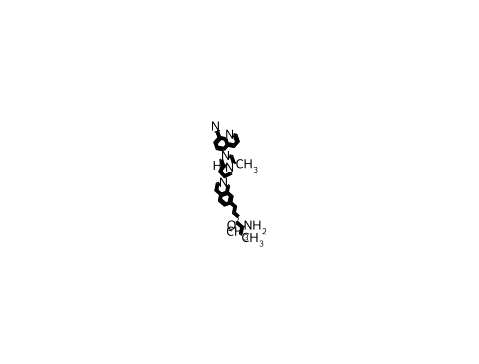 CC[C@@H](N)[C@@H](CCCc1ccc2c(c1)CN([C@H]1C[C@H]3CN(c4ccc(C#N)c5ncccc45)C[C@@H](C)N3C1)CC2)OC